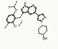 O[C@H]1CC[C@H](n2cc(-c3cnc4[nH]cc([C@H](CF)c5c(OC(F)F)ccc(F)c5Cl)c4c3)cn2)CC1